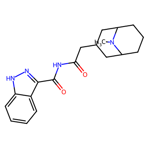 CN1C2CCCC1CC(CC(=O)NC(=O)c1n[nH]c3ccccc13)C2